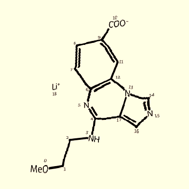 COCCNc1nc2ccc(C(=O)[O-])cc2n2cncc12.[Li+]